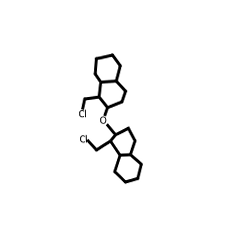 ClCC1C(OC2CCC3CCCCC3C2CCl)CCC2CCCCC21